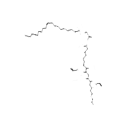 C=CC(=O)OC(CCCCCCCC)C(O)CC(OC(=O)C=C)C(O)CCCCCCC(=O)OCC(C)COC(=O)CCCCCCCCC1OC1CCCCCCCC